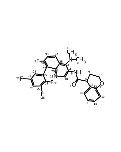 CN(C)c1c(NC(=O)C2CCOc3ccccc32)cnc2c(-c3cc(F)cc(F)c3F)c(F)ccc12